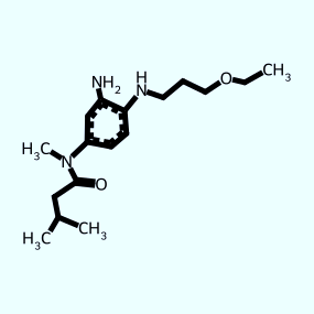 CCOCCCNc1ccc(N(C)C(=O)CC(C)C)cc1N